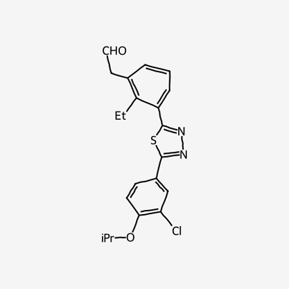 CCc1c(CC=O)cccc1-c1nnc(-c2ccc(OC(C)C)c(Cl)c2)s1